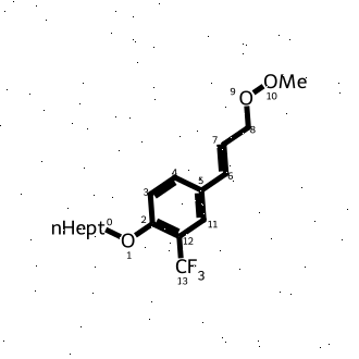 CCCCCCCOc1ccc(/C=C/COOC)cc1C(F)(F)F